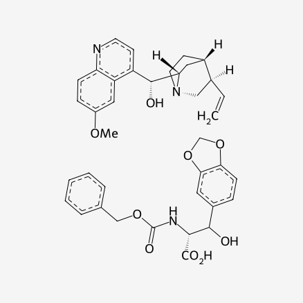 C=C[C@H]1C[N@]2CC[C@H]1C[C@H]2[C@H](O)c1ccnc2ccc(OC)cc12.O=C(N[C@@H](C(=O)O)C(O)c1ccc2c(c1)OCO2)OCc1ccccc1